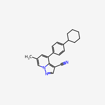 Cc1cc(-c2ccc(C3CCCCC3)cc2)c2c(C#N)cnn2c1